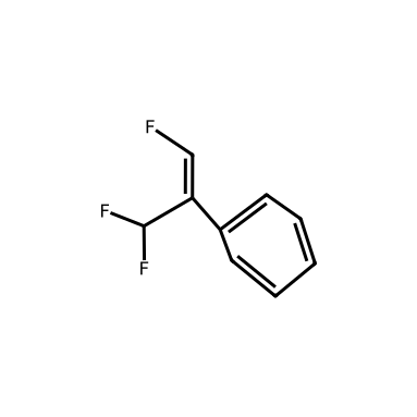 FC=C(c1ccccc1)C(F)F